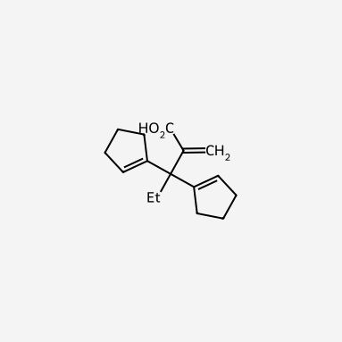 C=C(C(=O)O)C(CC)(C1=CCCC1)C1=CCCC1